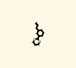 C=CCC1CCCC(C2OCCCO2)C1